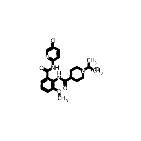 COc1cccc(C(=O)Nc2ccc(Cl)cn2)c1NC(=O)C1CCN(C(C)C)CC1.Cl